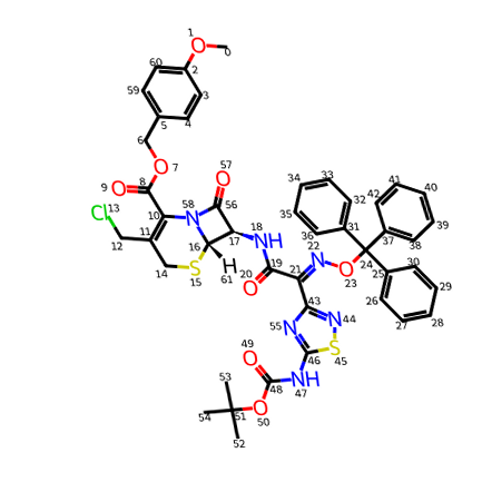 COc1ccc(COC(=O)C2=C(CCl)CS[C@H]3[C@H](NC(=O)C(=NOC(c4ccccc4)(c4ccccc4)c4ccccc4)c4nsc(NC(=O)OC(C)(C)C)n4)C(=O)N23)cc1